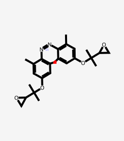 Cc1cc(OC(C)(C)C2CO2)cc(C)c1/N=N\c1c(C)cc(OC(C)(C)C2CO2)cc1C